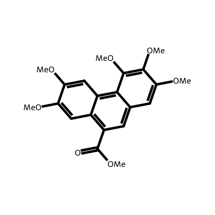 COC(=O)c1cc2cc(OC)c(OC)c(OC)c2c2cc(OC)c(OC)cc12